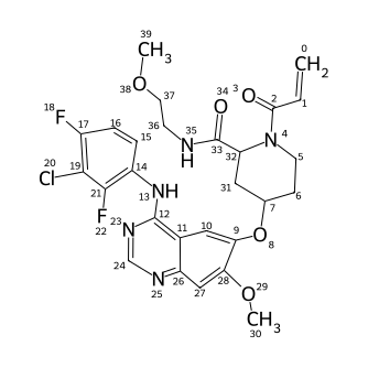 C=CC(=O)N1CCC(Oc2cc3c(Nc4ccc(F)c(Cl)c4F)ncnc3cc2OC)CC1C(=O)NCCOC